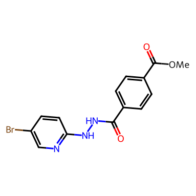 COC(=O)c1ccc(C(=O)NNc2ccc(Br)cn2)cc1